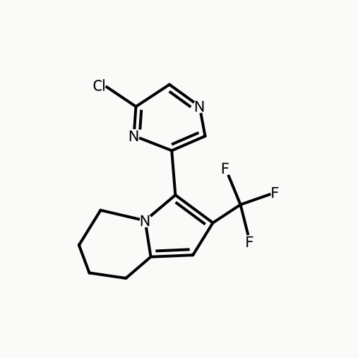 FC(F)(F)c1cc2n(c1-c1cncc(Cl)n1)CCCC2